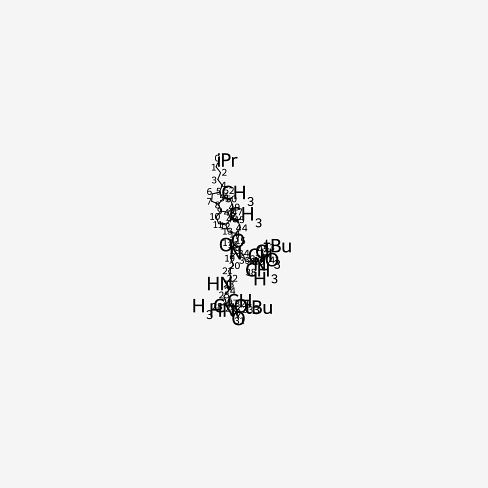 CC(C)CCCCC1CCC2C3CC=C4CC(OC(=O)N(CCCCNCCC(C)(C)NC(=O)OC(C)(C)C)CCC(C)(C)NC(=O)OC(C)(C)C)CCC4(C)C3CCC12C